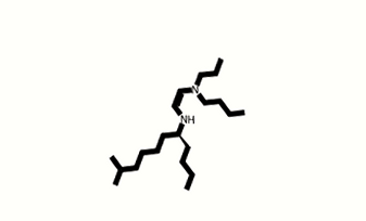 CCCC[C@@H](CCCCC(C)C)N/C=C\N(CCC)CCCC